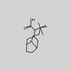 CCCCN1C2CCC1CC(N(C(=O)O)C(C)(C)C)C2